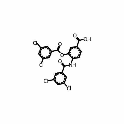 O=C(O)c1ccc(NC(=O)c2cc(Cl)cc(Cl)c2)c(OC(=O)c2cc(Cl)cc(Cl)c2)c1